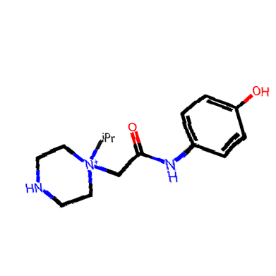 CC(C)[N+]1(CC(=O)Nc2ccc(O)cc2)CCNCC1